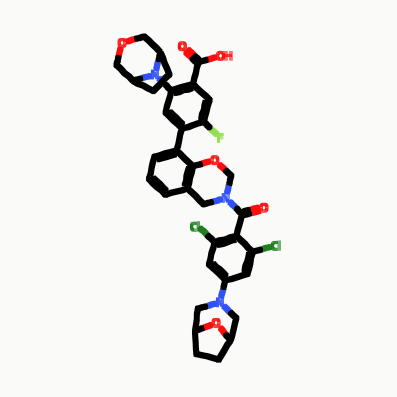 O=C(O)c1cc(F)c(-c2cccc3c2OCN(C(=O)c2c(Cl)cc(N4CC5CCC(C4)O5)cc2Cl)C3)cc1N1C2CCC1COC2